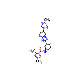 Cc1cnc(-c2cnc3nc(-c4cc(NC(=O)c5oc(C)nc5C)ccc4F)nn3c2)cn1